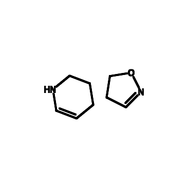 C1=CNCCC1.C1=NOCC1